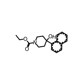 CCOC(=O)N1CCC(O)(c2cccc3ccccc23)CC1